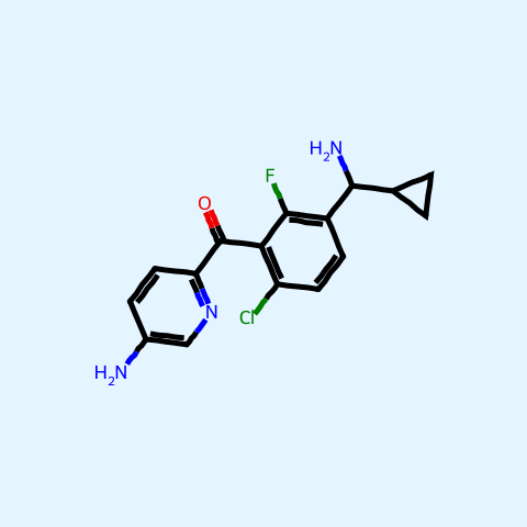 Nc1ccc(C(=O)c2c(Cl)ccc(C(N)C3CC3)c2F)nc1